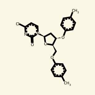 Cc1ccc(OC[C@H]2O[C@@H](n3ccc(Cl)nc3=O)C[C@@H]2Oc2ccc(C)cc2)cc1